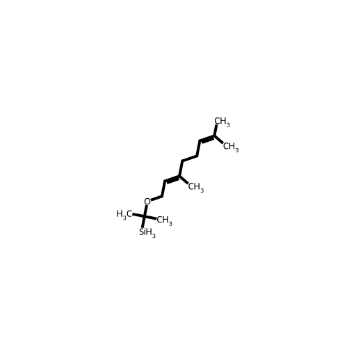 CC(C)=CCC/C(C)=C/COC(C)(C)[SiH3]